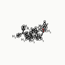 C[C@H](NC(=O)CN(C)C(=O)CN(C)C(=O)CN(C)C(=O)CN(C)C(=O)CN(C)C(=O)CN(C)C(=O)CN(C)C(=O)CN(C)C(=O)CN(C)C(=O)CN(C)C(=O)c1cc(-c2cnc(S(C)(=O)=O)nc2)cc(-c2cnc(S(C)(=O)=O)nc2)c1)C(=O)N[C@@H](C)C(=O)N[C@@H](C)C(=O)NCOCCCC(=O)O[C@]1(C(=O)SCF)[C@H](C)C[C@H]2[C@@H]3C[C@H](F)C4=CC(=O)C=C[C@]4(C)[C@@]3(F)[C@@H](O)C[C@@]21C